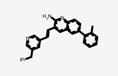 Cc1ccccc1-c1ccc2nc(N)c(C=Cc3cncc(CC(C)C)c3)cc2c1